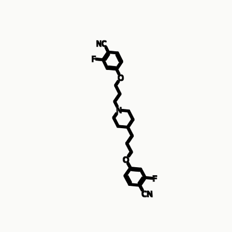 N#Cc1ccc(OCCCC2CCN(CCCOc3ccc(C#N)c(F)c3)CC2)cc1F